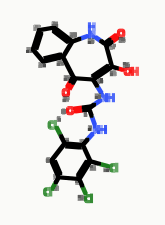 O=C(Nc1c(Cl)cc(Cl)c(Cl)c1Cl)Nc1c(O)c(=O)[nH]c2ccccc2c1=O